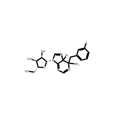 [2H]C12N=CN([C@@H]3O[C@H](CO)[C@@H](O)[C@H]3O)C1=NC=NC2(N)Cc1cccc(I)c1